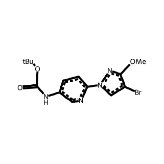 COc1nn(-c2ccc(NC(=O)OC(C)(C)C)cn2)cc1Br